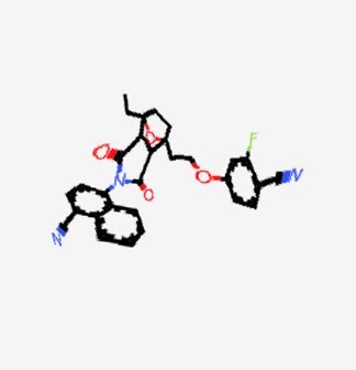 CCC12CCC(CCOc3ccc(C#N)c(F)c3)(O1)C1C(=O)N(c3ccc(C#N)c4ccccc34)C(=O)C12